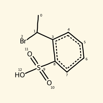 CC(Br)c1ccccc1S(=O)(=O)O